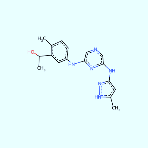 Cc1cc(Nc2cncc(Nc3ccc(C)c(C(C)O)c3)n2)n[nH]1